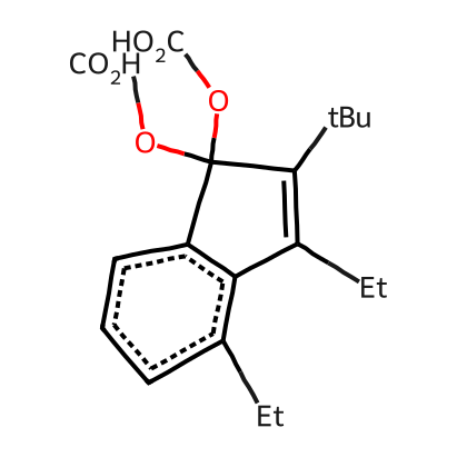 CCC1=C(C(C)(C)C)C(OC(=O)O)(OC(=O)O)c2cccc(CC)c21